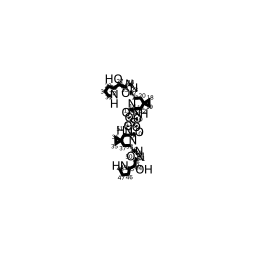 O=C1N2C[C@H](N1OS(=O)(=O)ON1C(=O)N3C[C@H]1C1(CC1)C[C@H]3c1nnc(C(O)C3CCCN3)o1)C1(CC1)C[C@H]2c1nnc(C(O)C2CCCN2)o1